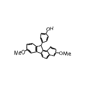 COc1ccc2c(c1)-c1ccc3cc(OC)ccc3c1C2c1ccc(O)cc1